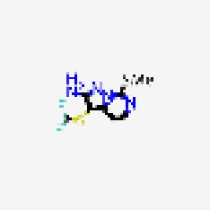 CSc1nccc2c(SC(F)F)c(N)nn12